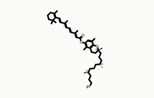 CC1=C(/C=C/C(C)=C/C=C/C(C)=C/C(=O)Oc2cc(C)c3c(c2C)CC[C@@](C)(CCC[C@H](C)CCC[C@H](C)CCCC(C)C)O3)C(C)(C)CCC1